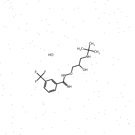 CC(C)(C)NCC(O)CONC(=N)c1cccc(C(F)(F)F)c1.Cl